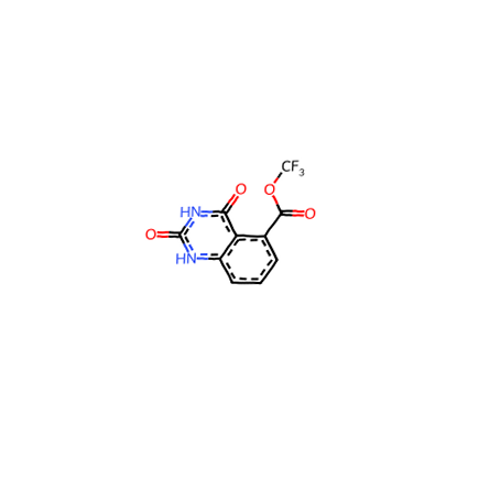 O=C(OC(F)(F)F)c1cccc2[nH]c(=O)[nH]c(=O)c12